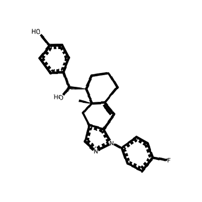 C[C@]12Cc3cnn(-c4ccc(F)cc4)c3C=C1CCC[C@@H]2C(O)c1ccc(O)cc1